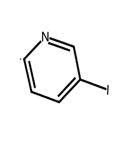 Ic1cc[c]nc1